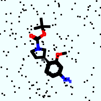 COc1cc(N)ccc1[C@@H]1CCN(C(=O)OC(C)(C)C)C1